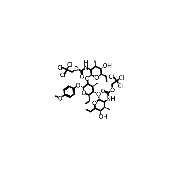 CCC1O[C@@H](OC2[C@@H](Oc3ccc(OC)cc3)OC(CC)[C@@H](O[C@@H]3OC(CC)[C@@H](O)[C@H](C)C3NC(=O)OCC(Cl)(Cl)Cl)[C@@H]2C)C(NC(=O)OCC(Cl)(Cl)Cl)[C@@H](C)[C@@H]1O